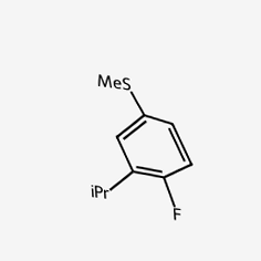 CSc1ccc(F)c(C(C)C)c1